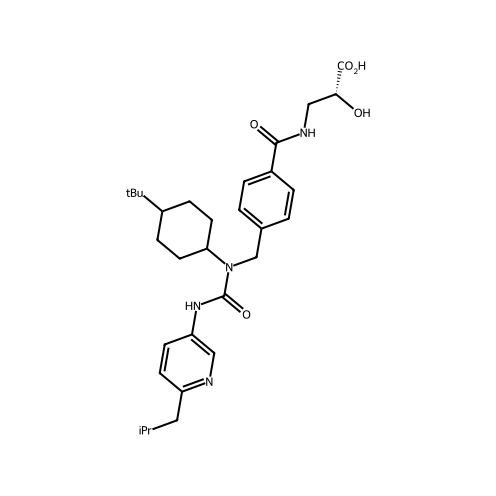 CC(C)Cc1ccc(NC(=O)N(Cc2ccc(C(=O)NC[C@@H](O)C(=O)O)cc2)C2CCC(C(C)(C)C)CC2)cn1